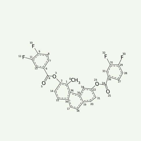 Cc1c(OC(=O)c2ccc(F)c(F)c2)ccc2ccc3ccc(OC(=O)c4ccc(F)c(F)c4)cc3c12